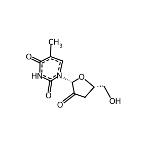 Cc1cn([C@@H]2O[C@H](CO)CC2=O)c(=O)[nH]c1=O